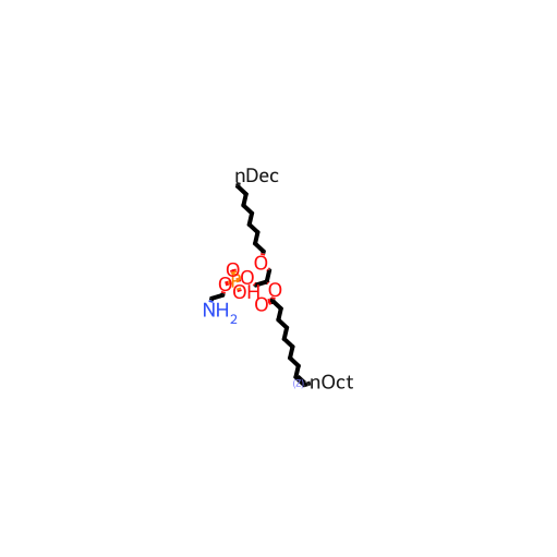 CCCCCCCC/C=C\CCCCCCCC(=O)OC(COCCCCCCCCCCCCCCCCCC)COP(=O)(O)OCCN